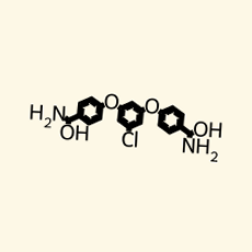 NC(O)c1ccc(Oc2cc(Cl)cc(Oc3ccc(C(N)O)cc3)c2)cc1